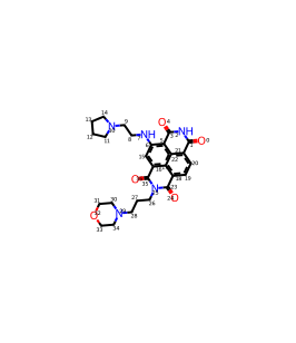 O=C1NC(=O)c2c(NCCN3CCCC3)cc3c4c(ccc1c24)C(=O)N(CCCN1CCOCC1)C3=O